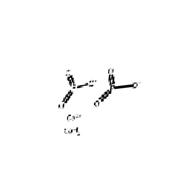 O=P(=O)[O-].O=P(=O)[O-].[Ca+2].[CaH2]